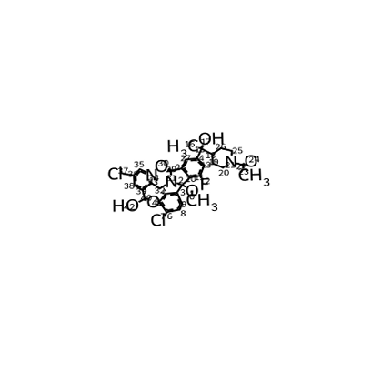 COC1(c2ccc(Cl)cc2)c2c(F)cc(C(C)(O)C3CCN(C(C)=O)CC3)cc2C(=O)N1Cc1ncc(Cl)cc1C(=O)O